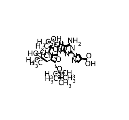 CC(C)(C[C@@H]1[C@@H](CO[Si](C)(C)C(C)(C)C)OC(n2cnc3c(N)nc(-n4cc(C(=O)O)cn4)nc32)[C@@H]1CC(C)(C)[Si](C)(C)O)[Si](C)(C)O